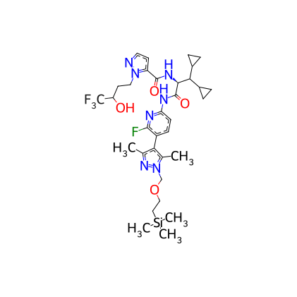 Cc1nn(COCC[Si](C)(C)C)c(C)c1-c1ccc(NC(=O)[C@@H](NC(=O)c2ccnn2CCC(O)C(F)(F)F)C(C2CC2)C2CC2)nc1F